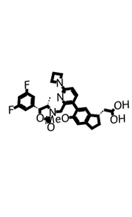 COc1cc2c(cc1-c1ccc(N3CCC3)nc1CN1C(=O)O[C@H](c3cc(F)cc(F)c3)[C@@H]1C)[C@H](CC(O)O)CC2